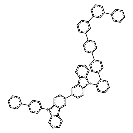 c1ccc(-c2ccc(-n3c4ccccc4c4cc(-c5ccc6c(c5)c5ccccc5n6-c5ccccc5-c5ccc(-c6ccc(-c7cccc(-c8cccc(-c9ccccc9)c8)c7)cc6)cc5)ccc43)cc2)cc1